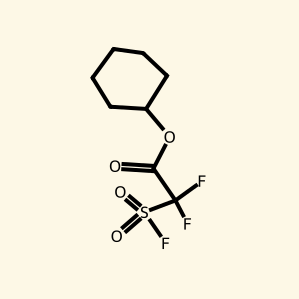 O=C(OC1CCCCC1)C(F)(F)S(=O)(=O)F